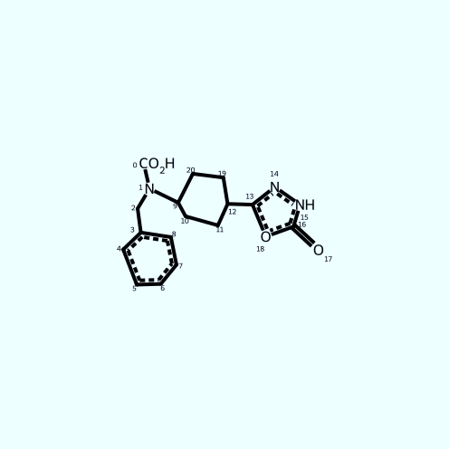 O=C(O)N(Cc1ccccc1)C1CCC(c2n[nH]c(=O)o2)CC1